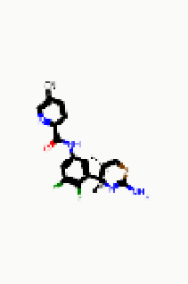 C[C@@H]1CSC(N)=N[C@]1(C)c1cc(NC(=O)c2ccc(C#N)cn2)cc(F)c1F